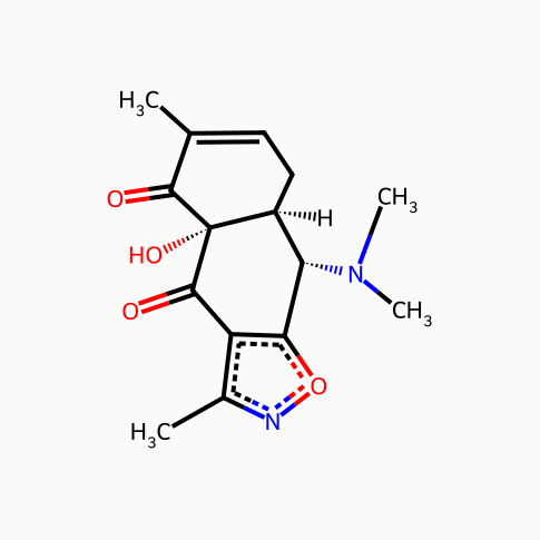 CC1=CC[C@H]2[C@H](N(C)C)c3onc(C)c3C(=O)[C@@]2(O)C1=O